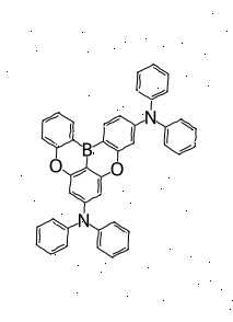 c1ccc(N(c2ccccc2)c2ccc3c(c2)Oc2cc(N(c4ccccc4)c4ccccc4)cc4c2B3c2ccccc2O4)cc1